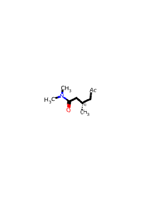 CC(=O)C[C@H](C)CC(=O)N(C)C